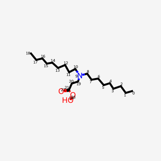 CCCCCCCCCN(CCCCCCCCC)CCC(=O)OO